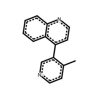 Cc1ccncc1-c1ccnc2ccccc12